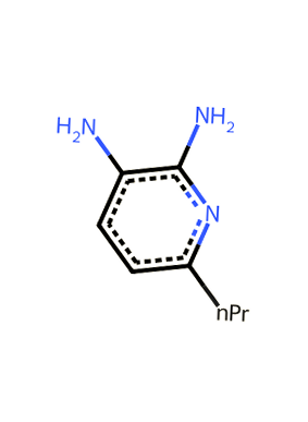 CCCc1ccc(N)c(N)n1